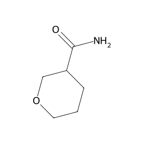 NC(=O)C1CCCOC1